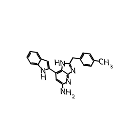 Cc1ccc(Cc2nc3nc(N)cc(-c4cc5ccccc5[nH]4)c3[nH]2)cc1